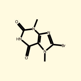 Cn1c(Br)nc2c1c(=O)[nH]c(=O)n2C